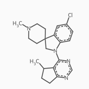 CC1CCc2ncnc(N3CC4(CCN(C)CC4)c4cc(Cl)ccc43)c21